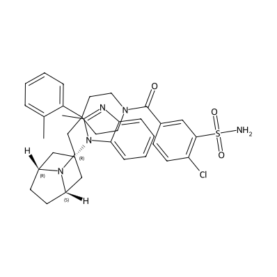 Cc1ccccc1C1(CCN2[C@@H]3CC[C@H]2C[C@@H](n2c(C)nc4ccccc42)C3)CCN(C(=O)c2ccc(Cl)c(S(N)(=O)=O)c2)CC1